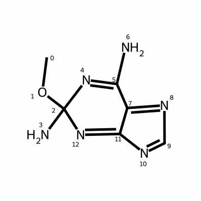 COC1(N)N=C(N)C2=NC=NC2=N1